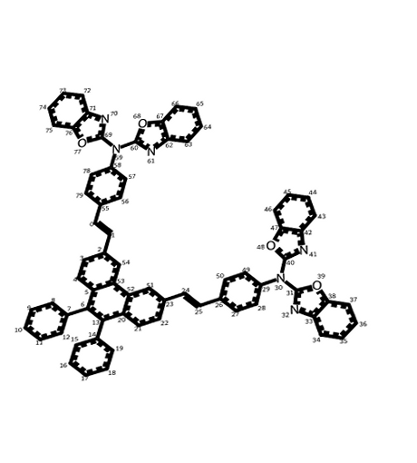 C(=C\c1ccc2c(-c3ccccc3)c(-c3ccccc3)c3ccc(/C=C/c4ccc(N(c5nc6ccccc6o5)c5nc6ccccc6o5)cc4)cc3c2c1)/c1ccc(N(c2nc3ccccc3o2)c2nc3ccccc3o2)cc1